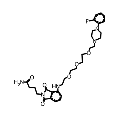 NC(=O)CCCN1C(=O)c2cccc(NCCOCCOCCOCCN3CCN(c4ccccc4F)CC3)c2C1=O